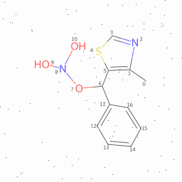 Cc1ncsc1C(ON(O)O)c1ccccc1